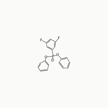 O=P(Oc1ccccc1)(Oc1ccccc1)c1cc(F)cc(F)c1